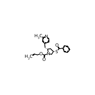 C=CCOC(=O)N1C[C@@H](SC(=O)c2ccccc2)C[C@H]1Cc1ccnc(C)c1